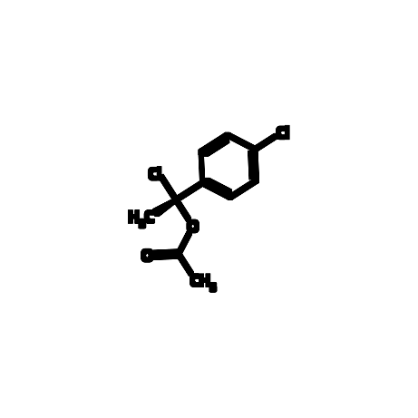 CC(=O)O[C@](C)(Cl)c1ccc(Cl)cc1